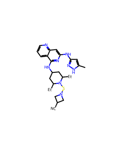 CCC1CC(Nc2nc(Nc3cc(C)[nH]n3)cc3ncccc23)CC(CC)N1SN1CC(C#N)C1